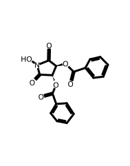 O=C(O[C@@H]1C(=O)N(O)C(=O)[C@H]1OC(=O)c1ccccc1)c1ccccc1